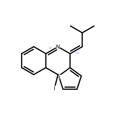 CC(C)/C=C(\N=C1\C=CC=CC1CI)c1cccs1